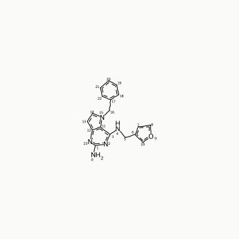 Nc1nc(NCc2ccoc2)c2c(ccn2Cc2ccccc2)n1